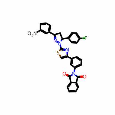 O=C1c2ccccc2C(=O)N1c1cccc(-c2csc(N3N=C(c4cccc([N+](=O)[O-])c4)CC3c3ccc(F)cc3)n2)c1